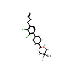 C=CCCc1ccc(C2CCC(C3OCC(F)(CCC)CO3)CC2)c(F)c1F